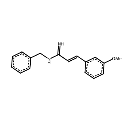 COc1cccc(/C=C/C(=N)NCc2ccccc2)c1